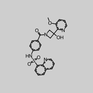 COc1cccnc1C1(O)CN(C(=O)c2ccc(NS(=O)(=O)c3cccc4cccnc34)cc2)C1